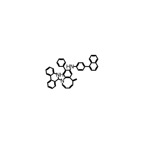 C=C1/C=C\C=C/N(C2Nc3ccccc3-c3ccccc32)c2cc(-c3ccccc3)c(Nc3ccc(-c4cccc5ccccc45)cc3)cc21